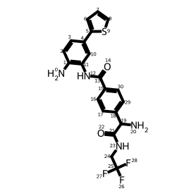 Nc1ccc(-c2cccs2)cc1NC(=O)c1ccc(C(N)C(=O)NCC(F)(F)F)cc1